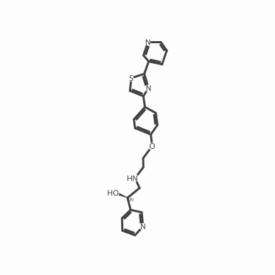 O[C@@H](CNCCOc1ccc(-c2csc(-c3cccnc3)n2)cc1)c1cccnc1